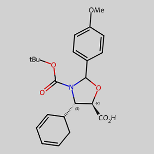 COc1ccc(C2O[C@@H](C(=O)O)[C@H](C3C=CC=CC3)N2C(=O)OC(C)(C)C)cc1